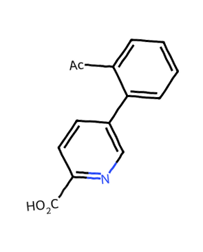 CC(=O)c1ccccc1-c1ccc(C(=O)O)nc1